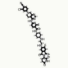 N#Cc1ccc(N2CCc3c(ncnc3Nc3ccc(C(=O)N[C@H]4CC[C@H](NCCNc5cc6c(cc5F)C(=O)N(C5CCC(=O)NC5=O)C6=O)CC4)c(F)n3)C2)cc1Cl